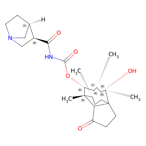 C[C@@H]1CCC23CCC(=O)C2[C@]1(C)[C@H](OC(=O)NC(=O)[C@H]1CN2CC[C@@H]1C2)C[C@H](C)[C@@H](O)[C@@H]3C